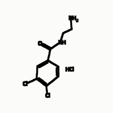 Cl.NCCNC(=O)c1ccc(Cl)c(Cl)c1